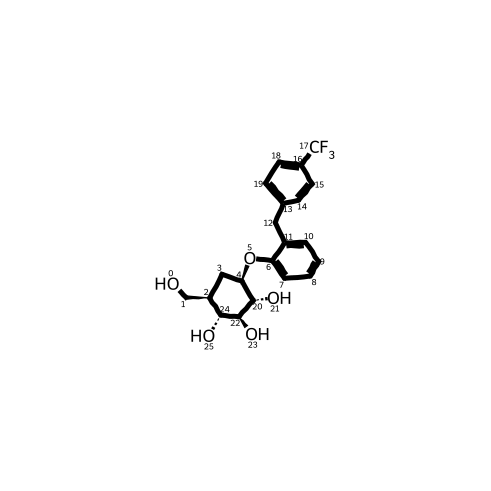 OC[C@H]1C[C@@H](Oc2ccccc2Cc2ccc(C(F)(F)F)cc2)[C@H](O)[C@@H](O)[C@@H]1O